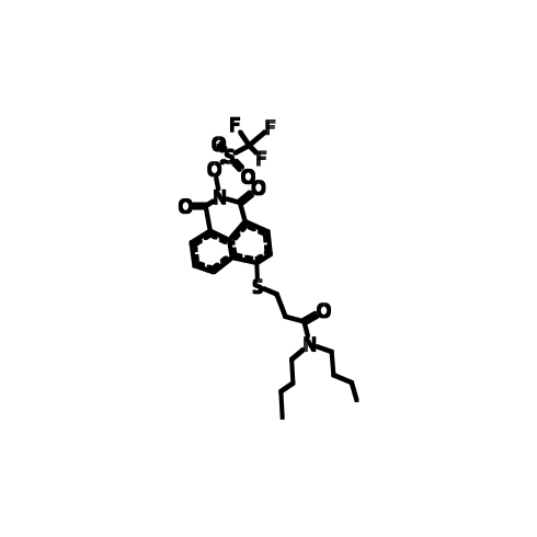 CCCCN(CCCC)C(=O)CCSc1ccc2c3c(cccc13)C(=O)N(OS(=O)(=O)C(F)(F)F)C2=O